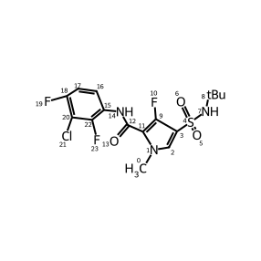 Cn1cc(S(=O)(=O)NC(C)(C)C)c(F)c1C(=O)Nc1ccc(F)c(Cl)c1F